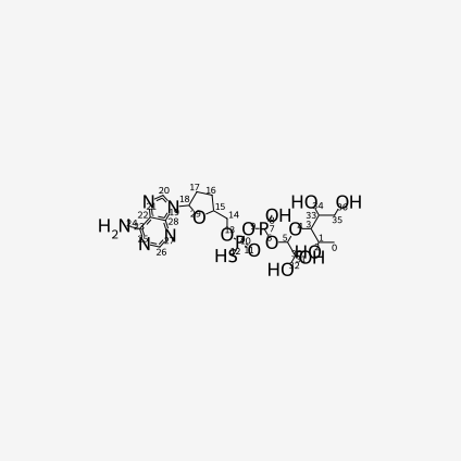 CC(O)C(OC(OP(O)OP(=O)(S)OCC1CCC(n2cnc3c(N)ncnc32)O1)C(O)O)C(O)CO